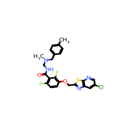 Cc1ccc(CN(C)CNC(=O)c2c(F)ccc(OCc3nc4cc(Cl)cnc4s3)c2F)cc1